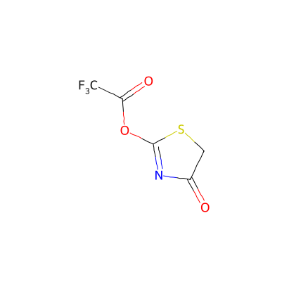 O=C1CSC(OC(=O)C(F)(F)F)=N1